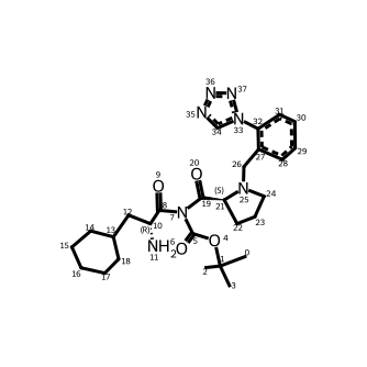 CC(C)(C)OC(=O)N(C(=O)[C@H](N)CC1CCCCC1)C(=O)[C@@H]1CCCN1Cc1ccccc1-n1cnnn1